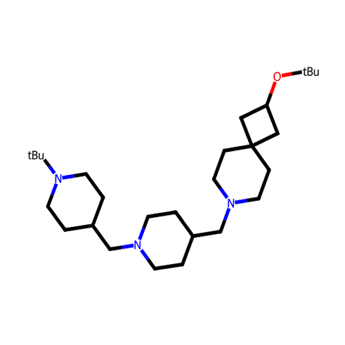 CC(C)(C)OC1CC2(CCN(CC3CCN(CC4CCN(C(C)(C)C)CC4)CC3)CC2)C1